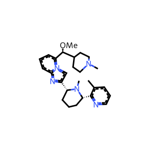 CO[C@H](c1cccc2nc([C@H]3CCC[C@@H](c4ncccc4C)N3C)cn12)C1CCN(C)CC1